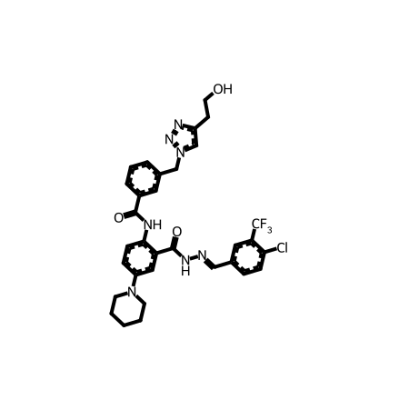 O=C(Nc1ccc(N2CCCCC2)cc1C(=O)NN=Cc1ccc(Cl)c(C(F)(F)F)c1)c1cccc(Cn2cc(CCO)nn2)c1